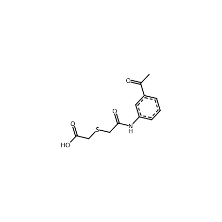 CC(=O)c1cccc(NC(=O)CSCC(=O)O)c1